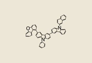 c1ccc(-n2c3ccc(-c4ccc5c(c4)c4ccccc4n5-c4ccc5ccccc5c4)cc3c3cc(-c4cccc5oc6ccccc6c45)ccc32)cc1